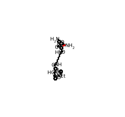 CCc1cccc(N(CC)C(=O)Cn2c(C(O)N[C@H]3CC[C@H](C(=O)NCCCCCCCCNC(=O)c4ccc5c(c4)C(=O)OC54c5ccc(N)cc5Oc5cc(N)ccc54)CC3)cc3ccccc32)c1